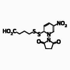 O=C(O)CCCSSC1C=CC([N+](=O)[O-])=CN1N1C(=O)CCC1=O